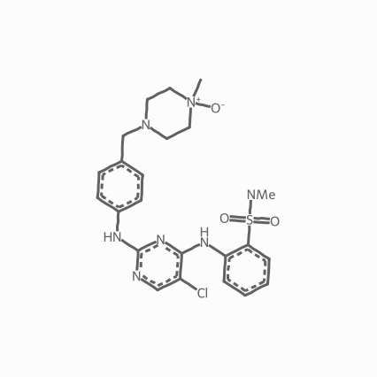 CNS(=O)(=O)c1ccccc1Nc1nc(Nc2ccc(CN3CC[N+](C)([O-])CC3)cc2)ncc1Cl